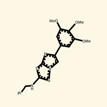 COc1cc(-c2cn3nc(NCC(C)C)sc3n2)cc(OC)c1OC